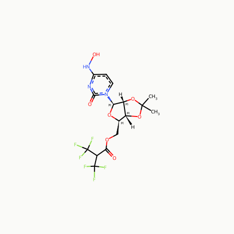 CC1(C)O[C@@H]2[C@H](O1)[C@@H](COC(=O)C(C(F)(F)F)C(F)(F)F)O[C@H]2n1ccc(NO)nc1=O